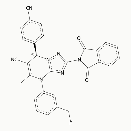 CC1=C(C#N)[C@@H](c2ccc(C#N)cc2)n2nc(N3C(=O)c4ccccc4C3=O)nc2N1c1cccc(CF)c1